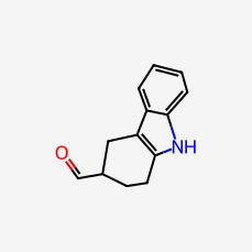 O=CC1CCc2[nH]c3ccccc3c2C1